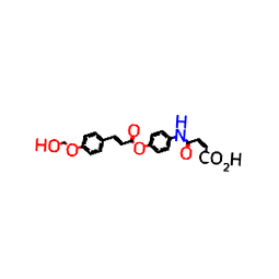 O=C(O)/C=C\C(=O)Nc1ccc(OC(=O)/C=C/c2ccc(OCO)cc2)cc1